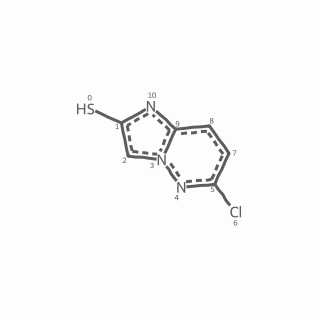 Sc1cn2nc(Cl)ccc2n1